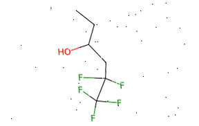 C[CH]C(O)CC(F)(F)C(F)(F)F